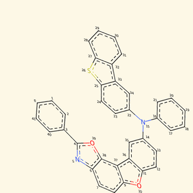 c1ccc(-c2nc3ccc4oc5ccc(N(c6ccccc6)c6ccc7sc8ccccc8c7c6)cc5c4c3o2)cc1